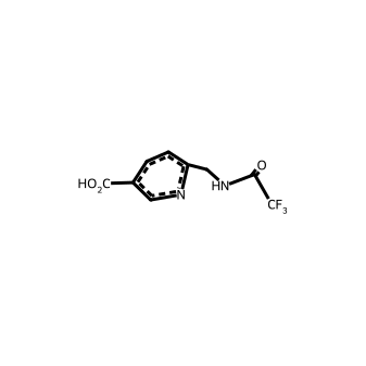 O=C(O)c1ccc(CNC(=O)C(F)(F)F)nc1